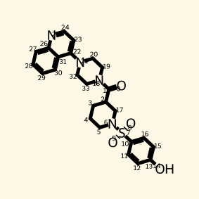 O=C(C1CCCN(S(=O)(=O)c2ccc(O)cc2)C1)N1CCN(c2ccnc3ccccc23)CC1